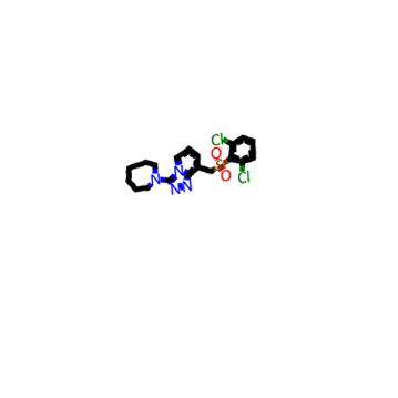 O=S(=O)(Cc1cccn2c(N3CCCCCC3)nnc12)c1c(Cl)cccc1Cl